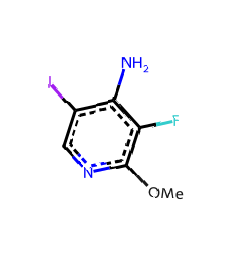 COc1ncc(I)c(N)c1F